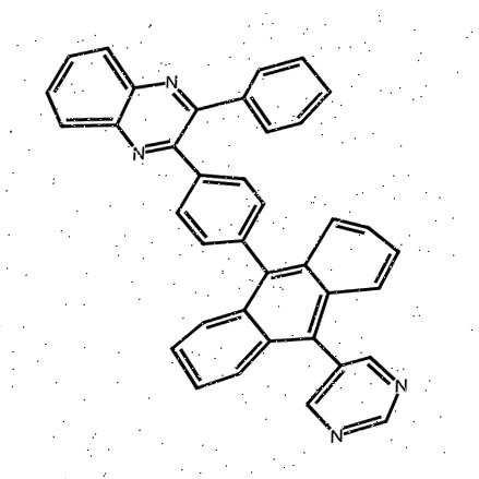 c1ccc(-c2nc3ccccc3nc2-c2ccc(-c3c4ccccc4c(-c4cncnc4)c4ccccc34)cc2)cc1